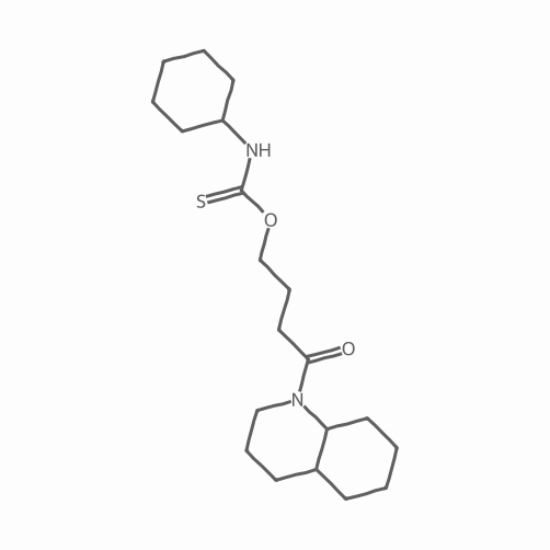 O=C(CCCOC(=S)NC1CCCCC1)N1CCCC2CCCCC21